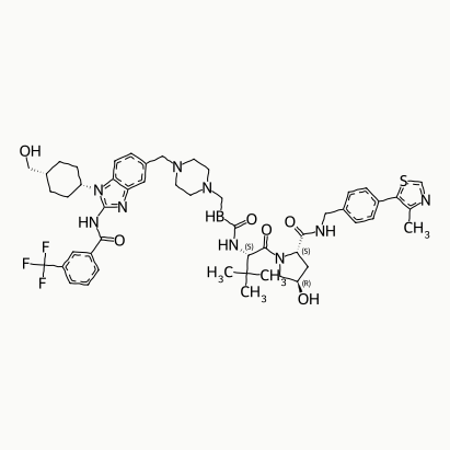 Cc1ncsc1-c1ccc(CNC(=O)[C@@H]2C[C@@H](O)CN2C(=O)[C@@H](NC(=O)BCN2CCN(Cc3ccc4c(c3)nc(NC(=O)c3cccc(C(F)(F)F)c3)n4[C@H]3CC[C@@H](CO)CC3)CC2)C(C)(C)C)cc1